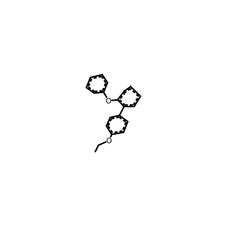 CCOc1ccc(-c2cc[c]cc2Oc2ccccc2)cc1